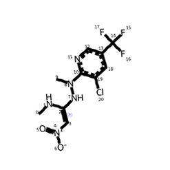 CN/C(=C\[N+](=O)[O-])NN(C)c1ncc(C(F)(F)F)cc1Cl